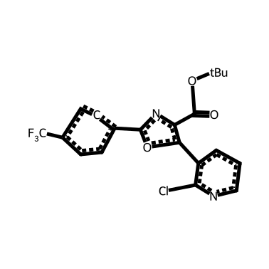 CC(C)(C)OC(=O)c1nc(-c2ccc(C(F)(F)F)cc2)oc1-c1cccnc1Cl